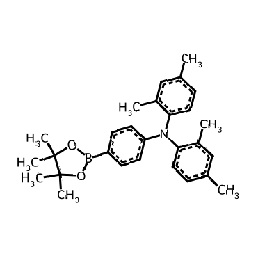 Cc1ccc(N(c2ccc(B3OC(C)(C)C(C)(C)O3)cc2)c2ccc(C)cc2C)c(C)c1